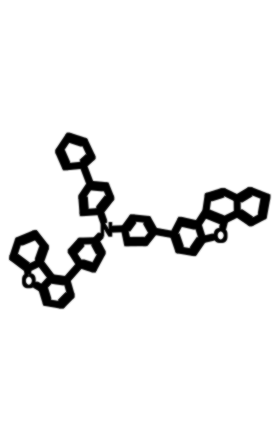 c1ccc(-c2ccc(N(c3ccc(-c4ccc5oc6c7ccccc7ccc6c5c4)cc3)c3ccc(-c4cccc5oc6ccccc6c45)cc3)cc2)cc1